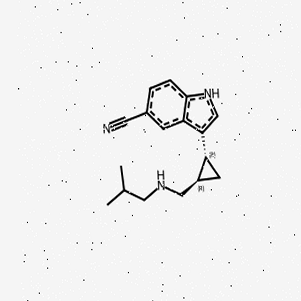 CC(C)CNC[C@@H]1C[C@H]1c1c[nH]c2ccc(C#N)cc12